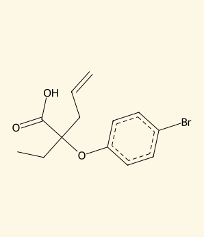 C=CCC(CC)(Oc1ccc(Br)cc1)C(=O)O